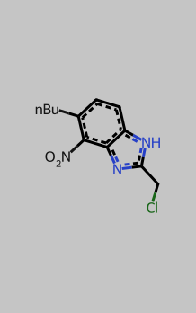 CCCCc1ccc2[nH]c(CCl)nc2c1[N+](=O)[O-]